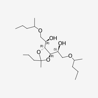 CCCC(C)OC[C@@H](O)[C@H]1OC(C)(CCC)O[C@@H]1[C@@H](O)COC(C)CCC